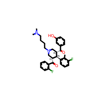 Cc1c(F)cccc1[C@@H]1[C@@H](C(=O)c2cccc(O)c2)CN(CCCCN(C)C)C[C@H]1C(=O)c1ccccc1F